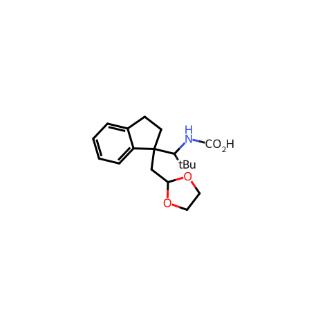 CC(C)(C)C(NC(=O)O)C1(CC2OCCO2)CCc2ccccc21